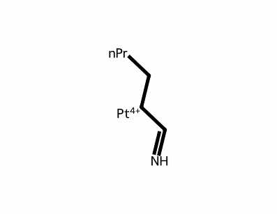 CCCCCC=N.[Pt+4]